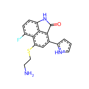 NCCSc1cc(-c2ccc[nH]2)c2c3c(ccc(F)c13)NC2=O